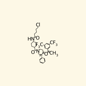 C[C@@H](O[C@H]1CCN(C(=O)C2CCC(NC(=O)CCCCCl)CC2)C[C@H]1c1ccccc1)c1cc(C(F)(F)F)cc(C(F)(F)F)c1